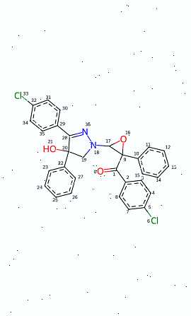 O=C(c1ccc(Cl)cc1)C1(c2ccccc2)OC1N1CC(O)(c2ccccc2)C(c2ccc(Cl)cc2)=N1